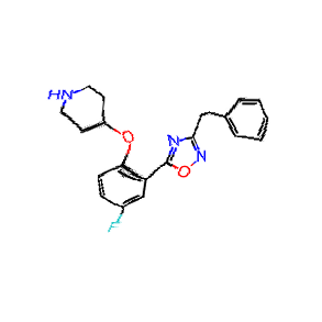 Fc1ccc(OC2CCNCC2)c(-c2nc(Cc3ccccc3)no2)c1